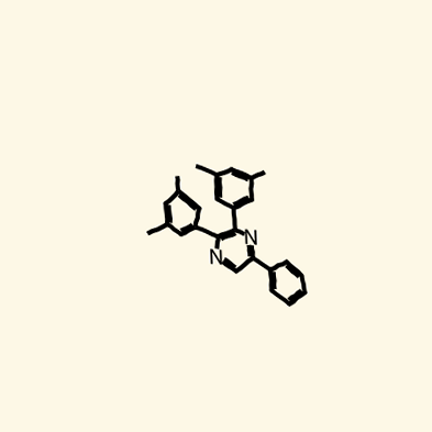 Cc1cc(C)cc(-c2ncc(-c3ccccc3)nc2-c2cc(C)cc(C)c2)c1